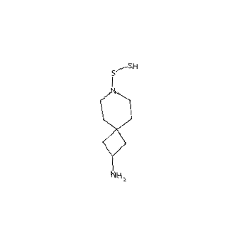 NC1CC2(CCN(SS)CC2)C1